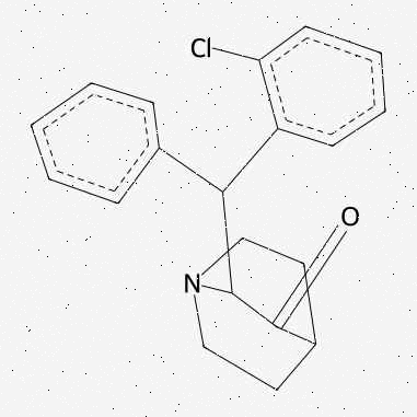 O=C1C2CCN(CC2)C1C(c1ccccc1)c1ccccc1Cl